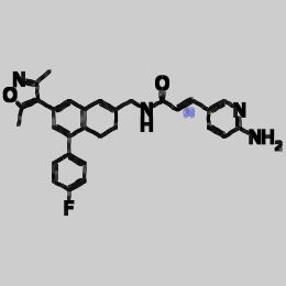 Cc1noc(C)c1-c1cc2c(c(-c3ccc(F)cc3)c1)CCC(CNC(=O)/C=C/c1ccc(N)nc1)=C2